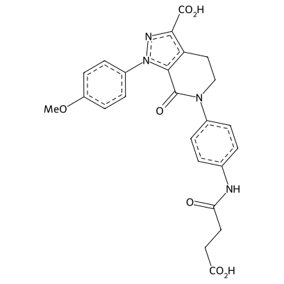 COc1ccc(-n2nc(C(=O)O)c3c2C(=O)N(c2ccc(NC(=O)CCC(=O)O)cc2)CC3)cc1